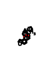 CN(C(=O)Cc1cccc2occc12)[C@@]12CC[C@@]3(CCCO3)CC1(N1CCCC1)C2